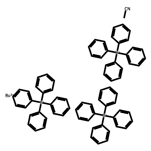 CC#N.[Ru+3].c1ccc([B-](c2ccccc2)(c2ccccc2)c2ccccc2)cc1.c1ccc([B-](c2ccccc2)(c2ccccc2)c2ccccc2)cc1.c1ccc([B-](c2ccccc2)(c2ccccc2)c2ccccc2)cc1